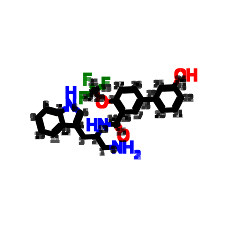 NCC(Cc1c[nH]c2ccccc12)NC(=O)c1cc(-c2cccc(O)c2)ccc1OC(F)(F)F